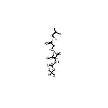 CC(C)COC(=O)CON1C(=O)C(NC(=O)OC(C)(C)C)C1C